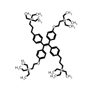 CC[N+](CC)(CC)CCCc1ccc(/C(=C(/c2ccc(CCC[N+](CC)(CC)CC)cc2)c2ccc(OCC[N+](CC)(CC)CC)cc2)c2ccc(OCC[N+](CC)(CC)CC)cc2)cc1